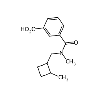 CC1CCC1CN(C)C(=O)c1cccc(C(=O)O)c1